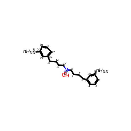 CCCCCCc1cccc(CCCCN(O)CCCCc2cccc(CCCCCC)c2)c1